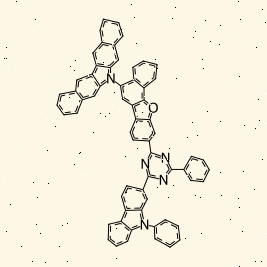 c1ccc(-c2nc(-c3ccc4c(c3)oc3c5ccccc5c(-n5c6cc7ccccc7cc6c6cc7ccccc7cc65)cc43)nc(-c3ccc4c5ccccc5n(-c5ccccc5)c4c3)n2)cc1